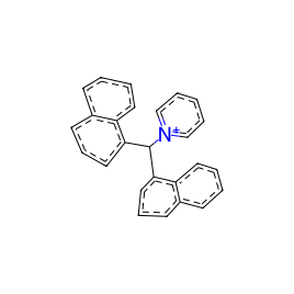 c1cc[n+](C(c2cccc3ccccc23)c2cccc3ccccc23)cc1